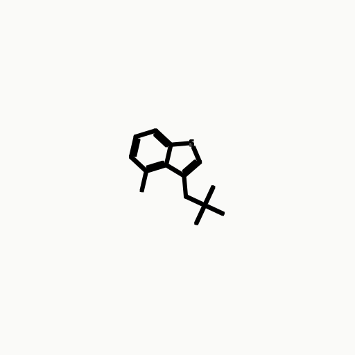 Cc1cccc2scc(CC(C)(C)C)c12